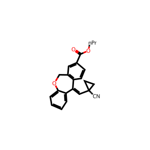 CCCOC(=O)c1ccc2c(c1)COc1ccccc1/C2=C/C1(C#N)CC1